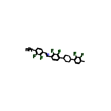 CCCc1ccc(/C=C/c2ccc(C3CCC(c4ccc(C)c(F)c4F)CC3)c(F)c2F)c(F)c1F